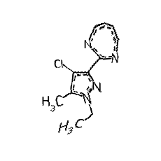 CCn1nc(-c2ncccn2)c(Cl)c1C